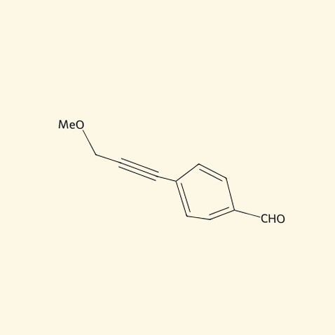 COCC#Cc1ccc(C=O)cc1